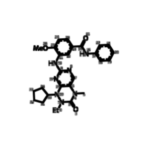 CCN1C(=O)N(C)c2cnc(Nc3cc(C(=O)Nc4ccccc4)ccc3OC)nc2N1C1CCCC1